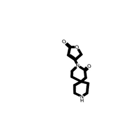 O=C1C=C(N2CCC3(CCNCC3)CC2=O)CO1